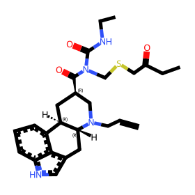 C=CCN1C[C@H](C(=O)N(CSCC(=O)CC)C(=O)NCC)C[C@@H]2c3cccc4[nH]cc(c34)C[C@H]21